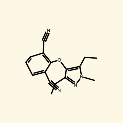 CCc1nn(C)c(CC)c1Oc1c(C#N)cccc1C#N